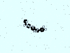 O=C(c1ccco1)N1CCN(c2ccc(-c3nc(-c4ccc(Cl)c(Cl)c4)c[nH]3)cn2)CC1